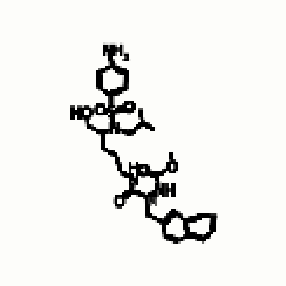 COC(=O)N[C@@H](Cc1ccc2ccccc2c1)C(=O)NCCCC(CO)N(CC(C)C)S(=O)(=O)c1ccc(N)cc1